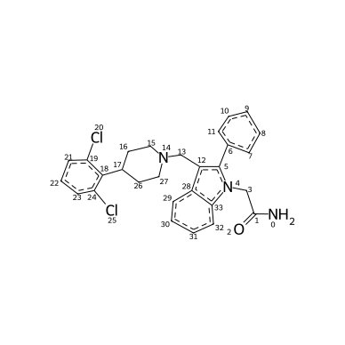 NC(=O)Cn1c(-c2ccccc2)c(CN2CCC(c3c(Cl)cccc3Cl)CC2)c2ccccc21